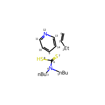 C=CCC.CCCCN(CCCC)C(=S)S.c1ccncc1